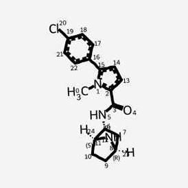 Cn1c(C(=O)N[C@@H]2C[C@H]3CC[C@@H]2N3)ccc1-c1ccc(Cl)cc1